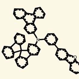 c1cc(-c2ccc3c(c2)oc2ccccc23)cc(N(c2ccc3c(c2)C2(c4ccccc4-c4ccccc42)c2ccccc2-3)c2ccc3c4ccccc4c4ccccc4c3c2)c1